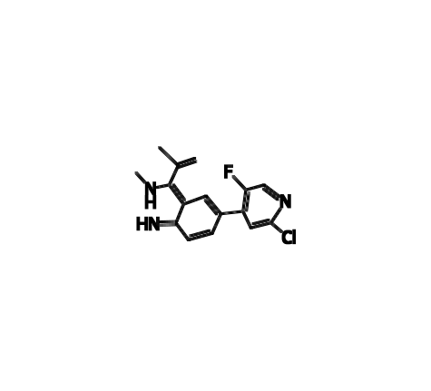 C=C(C)/C(NC)=C1\C=C(c2cc(Cl)ncc2F)C=CC1=N